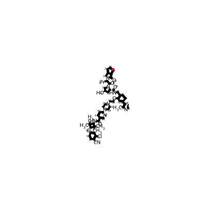 Cc1ncsc1-c1ccc(CNC(=O)[C@@H]2C[C@@H](O)CN2C(=O)C(C(C)C)N2Cc3ccccc3C2=O)c(OCCN2CCN(c3ccc(C(=O)NC4C(C)(C)C(Oc5ccc(C#N)c(Cl)c5)C4(C)C)cn3)CC2)c1